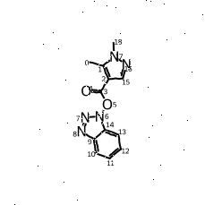 Cc1c(C(=O)On2nnc3ccccc32)cnn1C